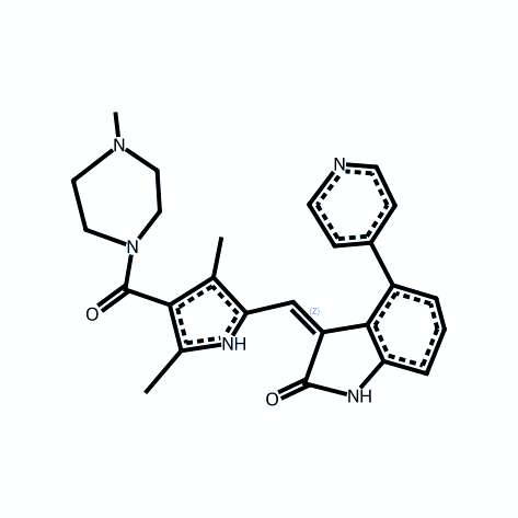 Cc1[nH]c(/C=C2\C(=O)Nc3cccc(-c4ccncc4)c32)c(C)c1C(=O)N1CCN(C)CC1